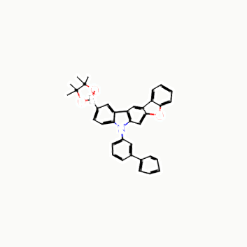 CC1(C)OB(c2ccc3c(c2)c2cc4c(cc2n3-c2cccc(-c3ccccc3)c2)oc2ccccc24)OC1(C)C